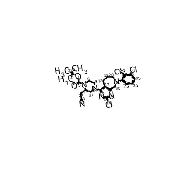 CC(C)(C)OC(=O)N1CCN(c2nc(Cl)nc3c2CCCN(c2cccc(Cl)c2Cl)C3)CC1CC#N